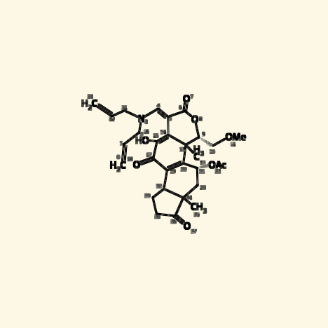 C=CCN(/C=C1/C(=O)O[C@H](COC)C2(C)C1=C(O)C(=O)C1=C2[C@H](OC(C)=O)CC2(C)C(=O)CCC12)CC=C